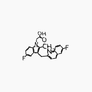 Cc1c(Cc2ccc3cc(F)ccc3n2)c2cc(F)ccc2n1CC(=O)O